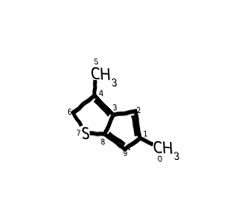 CC1=CC2=C(C)CSC2=[C]1